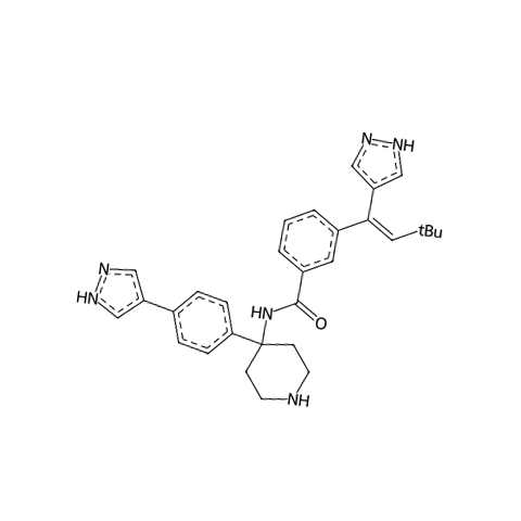 CC(C)(C)/C=C(\c1cn[nH]c1)c1cccc(C(=O)NC2(c3ccc(-c4cn[nH]c4)cc3)CCNCC2)c1